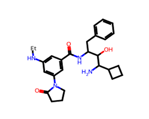 CCNc1cc(C(=O)NC(Cc2ccccc2)C(O)C(N)C2CCC2)cc(N2CCCC2=O)c1